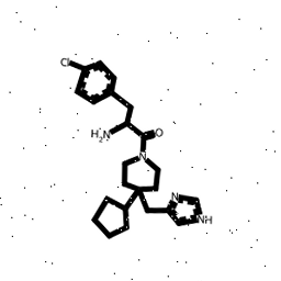 NC(Cc1ccc(Cl)cc1)C(=O)N1CCC(Cc2c[nH]cn2)(C2CCCC2)CC1